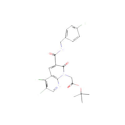 CC(C)(C)OC(=O)Cn1c(=O)c(C(=O)NCc2ccc(Cl)cc2)cc2c(Cl)c(Br)cnc21